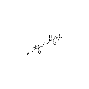 C=CCOC(=O)NCCCNC(=O)OC(C)(C)C